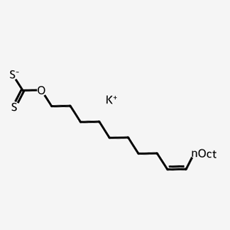 CCCCCCCC/C=C\CCCCCCCCOC(=S)[S-].[K+]